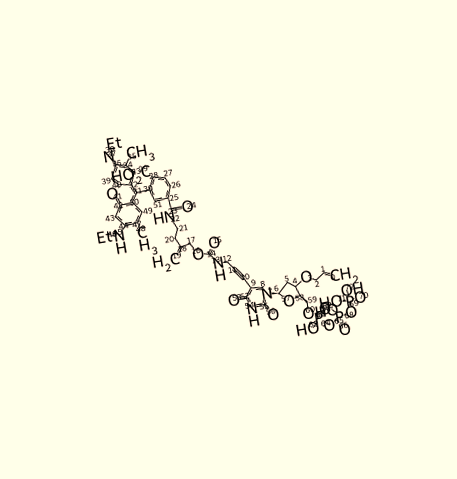 C=CCOC1C[C@H](n2cc(C#CCNC(=O)OCC(=C)CCNC(=O)c3ccc(C(=O)O)c(-c4c5cc(C)/c(=N\CC)cc-5oc5cc(NCC)c(C)cc45)c3)c(=O)[nH]c2=O)O[C@@H]1COP(=O)(O)OP(=O)(O)OP(=O)(O)O